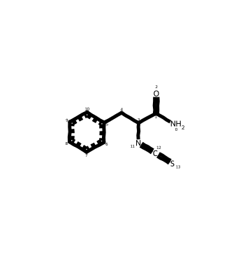 NC(=O)C(Cc1ccccc1)N=C=S